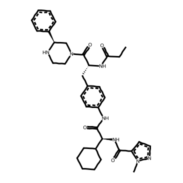 CCC(=O)N[C@H](Cc1ccc(NC(=O)[C@@H](NC(=O)c2ccnn2C)C2CCCCC2)cc1)C(=O)N1CCN[C@@H](c2ccccc2)C1